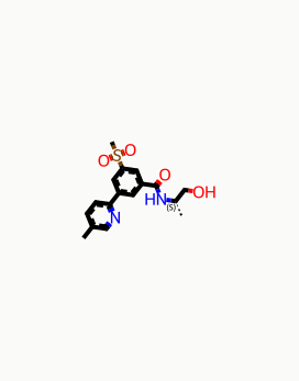 Cc1ccc(-c2cc(C(=O)N[C@@H](C)CO)cc(S(C)(=O)=O)c2)nc1